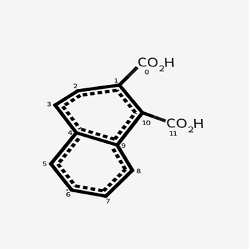 O=C(O)c1ccc2c[c]ccc2c1C(=O)O